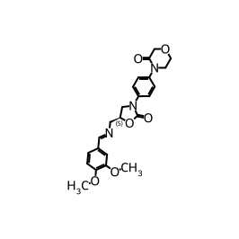 COc1ccc(C=NC[C@H]2CN(c3ccc(N4CCOCC4=O)cc3)C(=O)O2)cc1OC